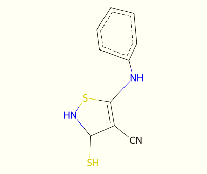 N#CC1=C(Nc2ccccc2)SNC1S